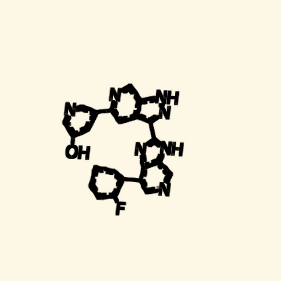 Oc1cncc(-c2cc3c(-c4nc5c(-c6ccccc6F)cncc5[nH]4)n[nH]c3cn2)c1